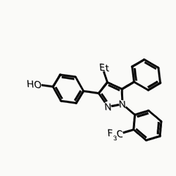 CCc1c(-c2ccc(O)cc2)nn(-c2ccccc2C(F)(F)F)c1-c1ccccc1